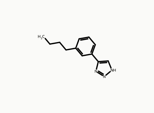 CCCCc1cccc(-c2c[nH]nn2)c1